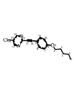 CCCCCOc1ccc(C#Cc2ncc(Cl)cn2)cc1